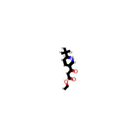 CCOC(=O)CC(=O)c1ccc(C(C)(C)C)nc1